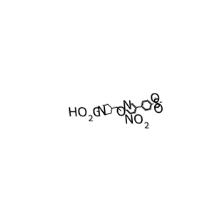 CS(=O)(=O)c1ccc(-c2cnc(OCC3CCN(C(=O)O)CC3)c([N+](=O)[O-])c2)cc1